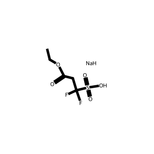 CCOC(=O)CC(F)(F)S(=O)(=O)O.[NaH]